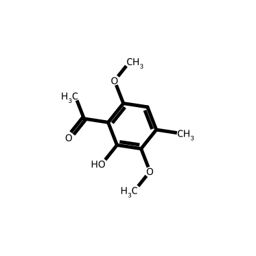 COc1cc(C)c(OC)c(O)c1C(C)=O